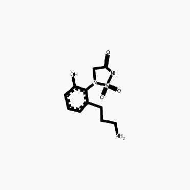 NCCCc1cccc(O)c1N1CC(=O)NS1(=O)=O